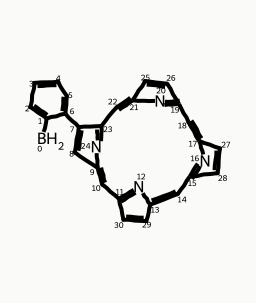 Bc1ccccc1C1=CC2=CC3=NC(=CC4=NC(=CC5=NC(=CC1=N2)C=C5)C=C4)C=C3